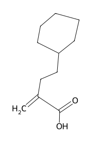 C=C(CCC1CCCCC1)C(=O)O